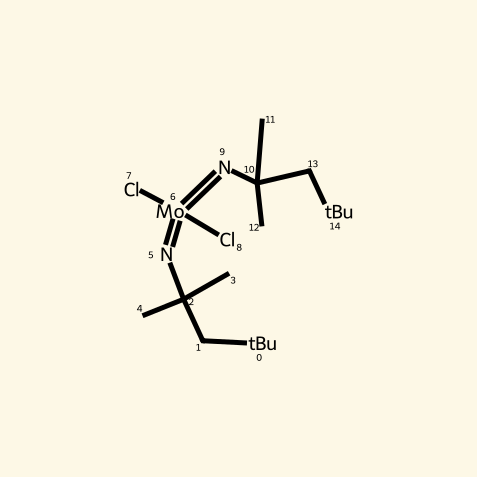 CC(C)(C)CC(C)(C)[N]=[Mo]([Cl])([Cl])=[N]C(C)(C)CC(C)(C)C